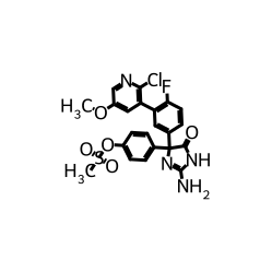 COc1cnc(Cl)c(-c2cc(C3(c4ccc(OS(C)(=O)=O)cc4)N=C(N)NC3=O)ccc2F)c1